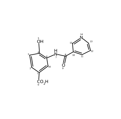 O=C(O)c1ccc(O)c(NC(=O)c2cccnc2)c1